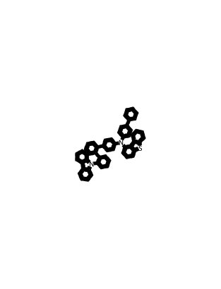 c1ccc(-c2ccc(N(c3ccc(-c4ccccc4-c4ccccc4-n4c5ccccc5c5ccccc54)cc3)c3cccc4sc5ccccc5c34)cc2)cc1